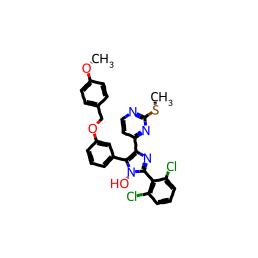 COc1ccc(COc2cccc(-c3c(-c4ccnc(SC)n4)nc(-c4c(Cl)cccc4Cl)n3O)c2)cc1